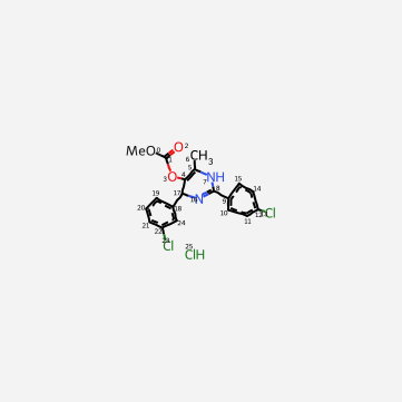 COC(=O)OC1=C(C)NC(c2ccc(Cl)cc2)=NC1c1cccc(Cl)c1.Cl